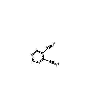 C#Cc1ncccc1C#N